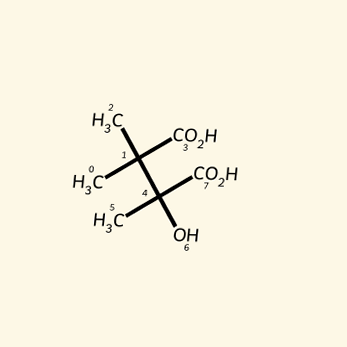 CC(C)(C(=O)O)C(C)(O)C(=O)O